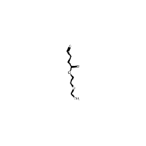 CCOCCOC(=O)CC[C]=O